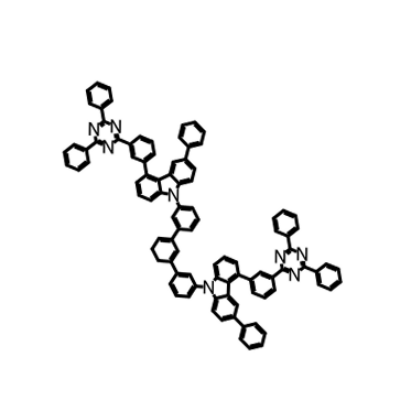 C1=C(c2cccc(-n3c4ccc(-c5ccccc5)cc4c4c(-c5cccc(-c6nc(-c7ccccc7)nc(-c7ccccc7)n6)c5)cccc43)c2)C=C(c2cccc(-n3c4ccc(-c5ccccc5)cc4c4c(-c5cccc(-c6nc(-c7ccccc7)nc(-c7ccccc7)n6)c5)cccc43)c2)CC1